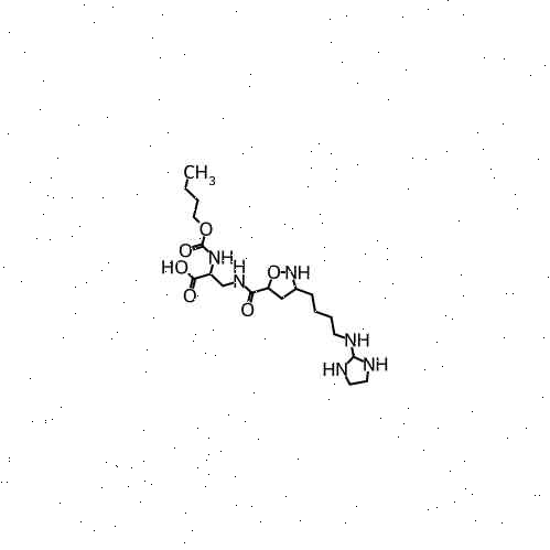 CCCCOC(=O)NC(CNC(=O)C1CC(CCCCNC2NCCN2)NO1)C(=O)O